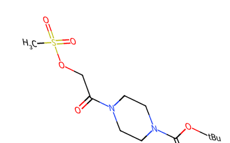 CC(C)(C)OC(=O)N1CCN(C(=O)COS(C)(=O)=O)CC1